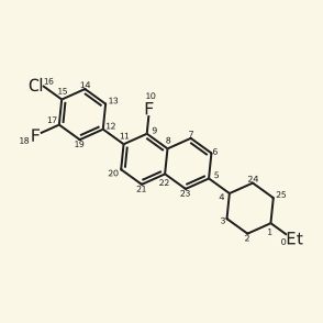 CCC1CCC(c2ccc3c(F)c(-c4ccc(Cl)c(F)c4)ccc3c2)CC1